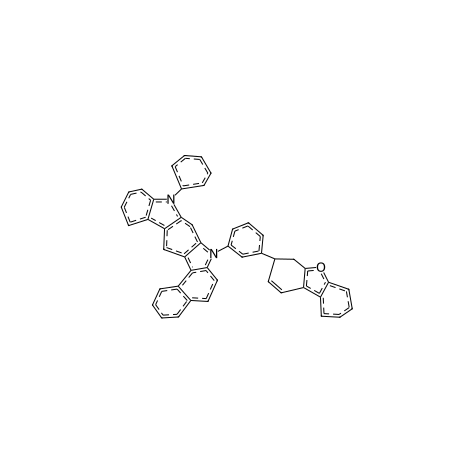 C1=CC(c2cccc(-n3c4cc5c(cc4c4c6ccccc6ccc43)c3ccccc3n5-c3ccccc3)c2)Cc2oc3ccccc3c21